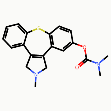 CN1CC2=C(C1)c1cc(OC(=O)N(C)C)ccc1Sc1ccccc12